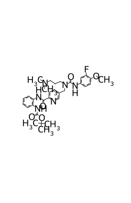 COc1ccc(NC(=O)N(CCCN(C)C)Cc2ccc(C(=O)Nc3ccccc3NC(=O)OC(C)(C)C)nc2)cc1F